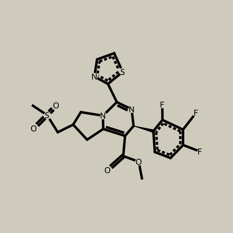 COC(=O)C1=C2CC(CS(C)(=O)=O)CN2C(c2nccs2)=N[C@H]1c1ccc(F)c(F)c1F